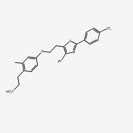 Cc1cc(OCCc2sc(-c3ccc(C(F)(F)F)cc3)nc2C(C)C)ccc1CCC(=O)O